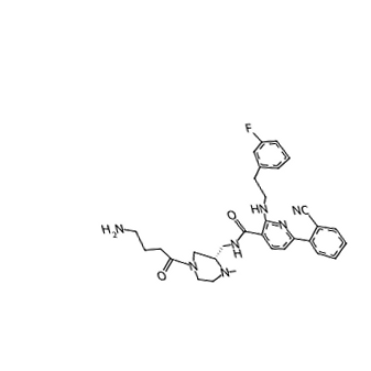 CN1CCN(C(=O)CCCN)C[C@@H]1CNC(=O)c1ccc(-c2ccccc2C#N)nc1NCCc1cccc(F)c1